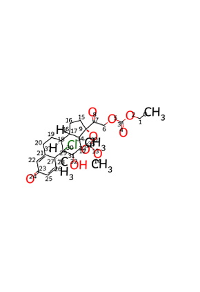 CCOC(=O)OCC(=O)[C@@]1(OC(=O)OC)CC[C@H]2[C@@H]3CCC4=CC(=O)C=C[C@]4(C)[C@@]3(Cl)C(O)C[C@@]21C